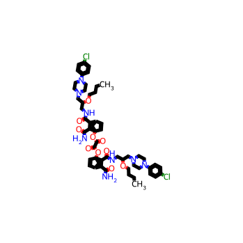 CCCCOC(CNC(=O)C1C2C=CC(OC(=O)C(=O)OC34C=CC(C3)C(C(N)=O)C4C(=O)NCC(CN3CCN(c4ccc(Cl)cc4)CC3)OCCCC)(C2)C1C(N)=O)CN1CCN(c2ccc(Cl)cc2)CC1